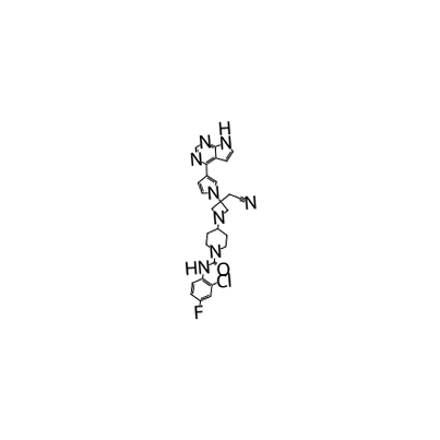 N#CCC1(n2ccc(-c3ncnc4[nH]ccc34)c2)CN(C2CCN(C(=O)Nc3ccc(F)cc3Cl)CC2)C1